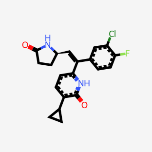 O=C1CC[C@H](C=C(c2ccc(F)c(Cl)c2)c2ccc(C3CC3)c(=O)[nH]2)N1